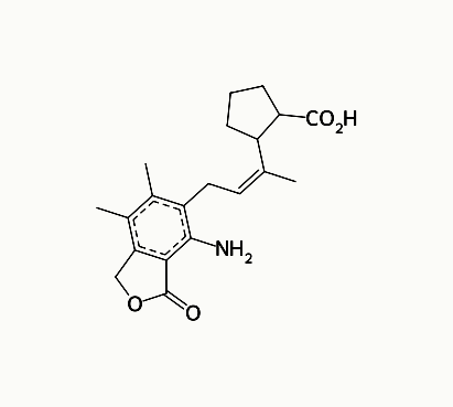 C/C(=C/Cc1c(C)c(C)c2c(c1N)C(=O)OC2)C1CCCC1C(=O)O